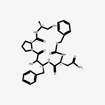 C[C@@H](CO)NC(=O)[C@@H]1CCCN1C(=O)C(O)[C@H](Cc1ccccc1)NC(=O)[C@H](CC(N)=O)NC(=O)OCc1ccccc1